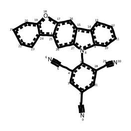 N#Cc1cc(C#N)c(-n2c3ccccc3c3cc4oc5ccccc5c4cc32)c(C#N)c1